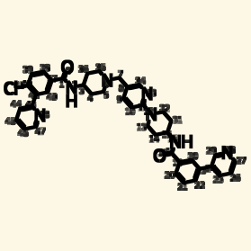 O=C(NC1CCN(Cc2ccc(N3CCC(NC(=O)c4cccc(-c5cccnc5)c4)CC3)nc2)CC1)c1ccc(Cl)c(-c2ccccn2)c1